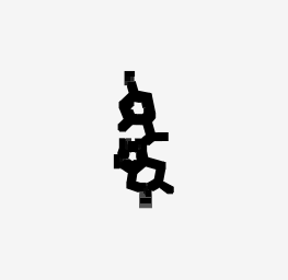 Cc1cc(F)ccc1C(C)n1nnc2c1C[C@@H](C)NC2